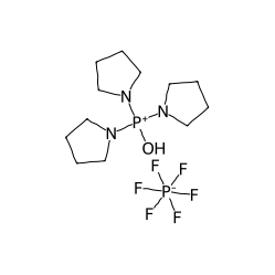 F[P-](F)(F)(F)(F)F.O[P+](N1CCCC1)(N1CCCC1)N1CCCC1